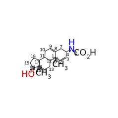 C[C@]12C=CC(NC(=O)O)CC1=CCC1C2CC[C@@]2(C)C1CC[C@@H]2O